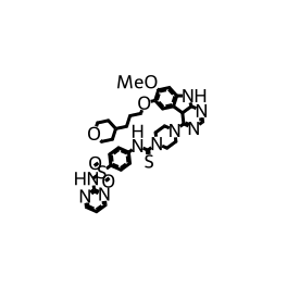 COc1cc2c(cc1OCCCC1CCOCC1)C1C(N3CCN(C(=S)Nc4ccc(S(=O)(=O)Nc5ncccn5)cc4)CC3)=NC=NC1N2